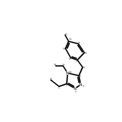 CCc1nnc(Cc2ccc(C)cc2)n1CC